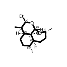 CC[C@H]1O[C@@H]2O[C@]3(C)CC[C@H]4[C@H](C)CC[C@@H]([C@H]1C)[C@@]24OO3